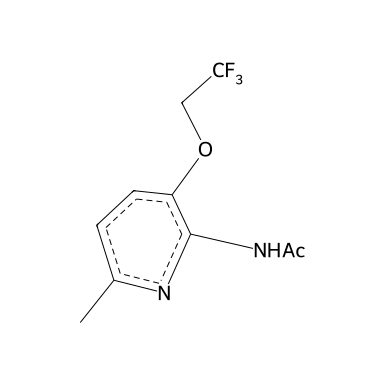 CC(=O)Nc1nc(C)ccc1OCC(F)(F)F